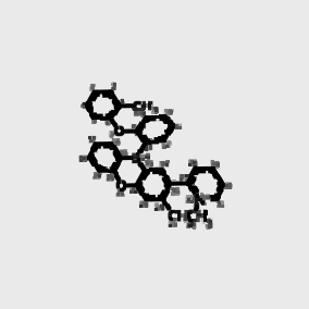 Cc1ccccc1Oc1ccccc1B1c2ccccc2Oc2cc(C)c(-c3cccc[n+]3C)cc21